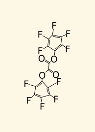 O=C(Oc1c(F)c(F)c(F)c(F)c1F)C(=O)Oc1c(F)c(F)c(F)c(F)c1F